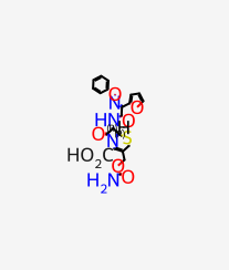 NC(=O)OCC1=C(C(=O)O)N2C(=O)[C@@H](NC(=O)C(=NOc3ccccc3)c3ccco3)[C@H]2SC1